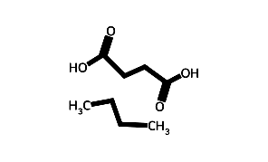 CCCC.O=C(O)CCC(=O)O